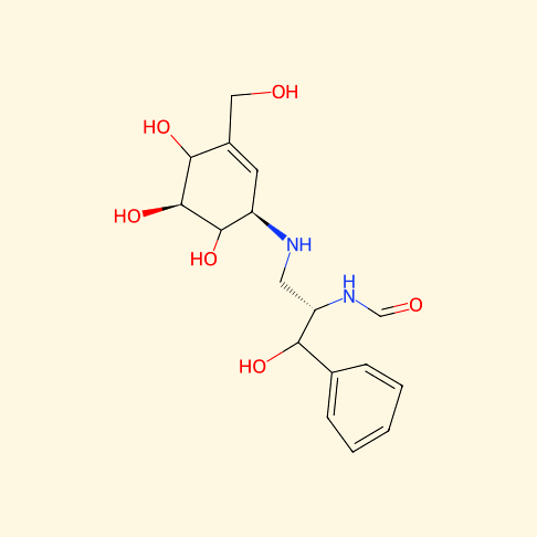 O=CN[C@@H](CN[C@@H]1C=C(CO)C(O)[C@H](O)C1O)C(O)c1ccccc1